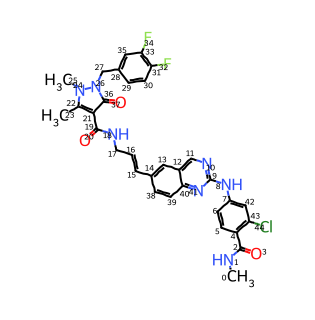 CNC(=O)c1ccc(Nc2ncc3cc(C=CCNC(=O)c4c(C)n(C)n(Cc5ccc(F)c(F)c5)c4=O)ccc3n2)cc1Cl